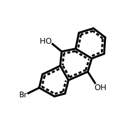 Oc1c2ccccc2c(O)c2cc(Br)ccc12